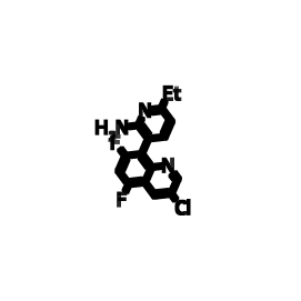 CCc1ccc(-c2c(F)cc(F)c3cc(Cl)cnc23)c(N)n1